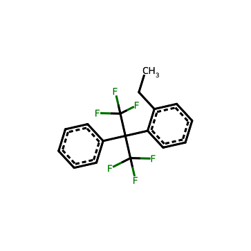 CCc1ccccc1C(c1ccccc1)(C(F)(F)F)C(F)(F)F